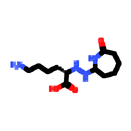 NCCCC[C@H](NNC1CCCCC(=O)N1)C(=O)O